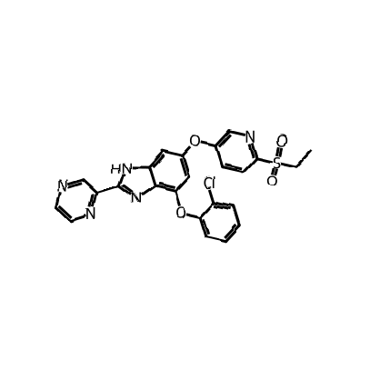 CCS(=O)(=O)c1ccc(Oc2cc(Oc3ccccc3Cl)c3nc(-c4cnccn4)[nH]c3c2)cn1